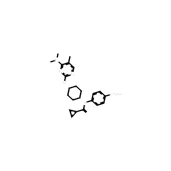 COc1ccc(N(C(=O)C2CC2)[C@H]2CC[C@@H](Nc3ncc(C)c(N(C)C)n3)CC2)cc1